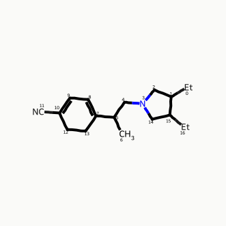 CCC1CN(CC(C)C2=CC=C(C#N)CC2)CC1CC